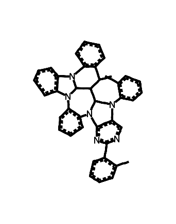 Cc1ccccc1-c1ncc2c(n1)N(C)C(C1C(C)c3ccccc3N3c4ccccc4N(c4ccccc4)C13)N2c1ccccc1C